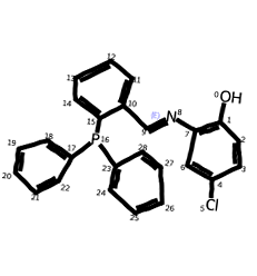 Oc1ccc(Cl)cc1/N=C/c1ccccc1P(c1ccccc1)c1ccccc1